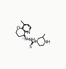 Cc1ccnc2c1OCC/C2=N/NC(=S)N1CCNC(C)C1